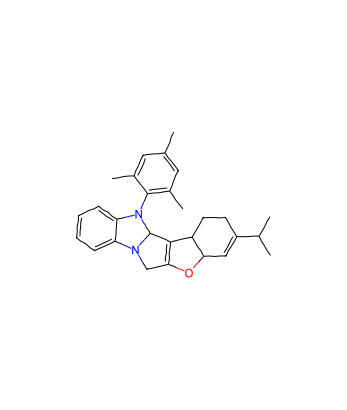 Cc1cc(C)c(N2c3ccccc3N3CC4=C(C5CCC(C(C)C)=CC5O4)C32)c(C)c1